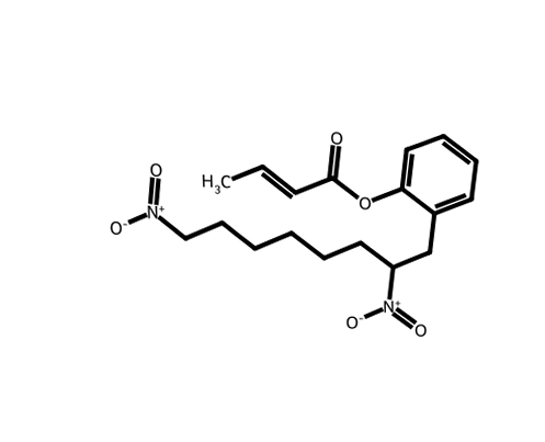 CC=CC(=O)Oc1ccccc1CC(CCCCCC[N+](=O)[O-])[N+](=O)[O-]